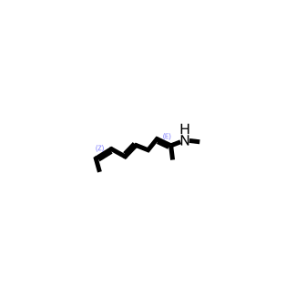 C/C=C\C=CC/C=C(\C)NC